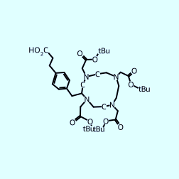 CC(C)(C)OC(=O)CN1CCN(CC(=O)OC(C)(C)C)CCN(CC(=O)OC(C)(C)C)C(Cc2ccc(CCC(=O)O)cc2)CN(CC(=O)OC(C)(C)C)CC1